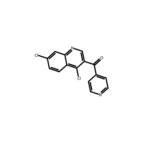 O=C(c1ccncc1)c1cnc2cc(Cl)ccc2c1Cl